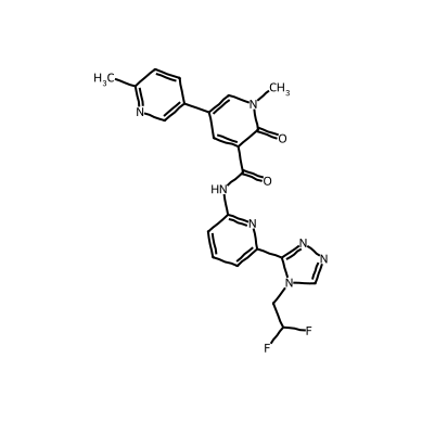 Cc1ccc(-c2cc(C(=O)Nc3cccc(-c4nncn4CC(F)F)n3)c(=O)n(C)c2)cn1